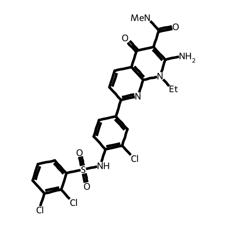 CCn1c(N)c(C(=O)NC)c(=O)c2ccc(-c3ccc(NS(=O)(=O)c4cccc(Cl)c4Cl)c(Cl)c3)nc21